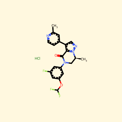 Cc1cc(-c2cnn3c2C(=O)N(c2cc(F)cc(OC(F)F)c2)C[C@@H]3C)ccn1.Cl